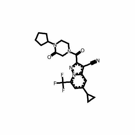 N#Cc1c(C(=O)N2CCN(C3CCCC3)C(=O)C2)nn2c(C(F)(F)F)cc(C3CC3)cc12